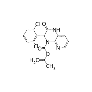 C=C(C)OC(=O)N1c2ncccc2NC(=O)C1c1c(Cl)cccc1Cl